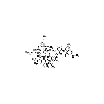 CC[C@H](C)[C@H](NC(=O)C(CCSC)NC(=O)CC(CNCCN)CNCCN)C(=O)N[C@H](C(=O)N[C@H](C(=O)NC(CCC(=O)O)C(=O)N[C@@H](CC(C)C)C(=O)NCC(=O)N[C@H](C(=O)NC(CC(N)=O)C(=O)N1CCC[C@H]1C(=O)NC)[C@@H](C)O)C(C)C)C(C)C